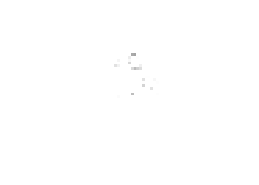 C[C@H]1OCCC2Oc3ccc(-c4cncc(Cl)c4)cc3[C@@]3(COC(N)=N3)C21